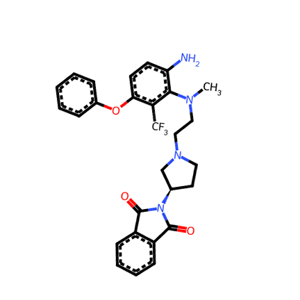 CN(CCN1CC[C@@H](N2C(=O)c3ccccc3C2=O)C1)c1c(N)ccc(Oc2ccccc2)c1C(F)(F)F